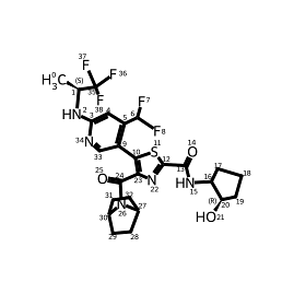 C[C@H](Nc1cc(C(F)F)c(-c2sc(C(=O)NC3CCC[C@H]3O)nc2C(=O)N2C3CCC2CC3)cn1)C(F)(F)F